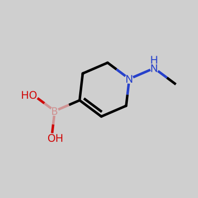 CNN1CC=C(B(O)O)CC1